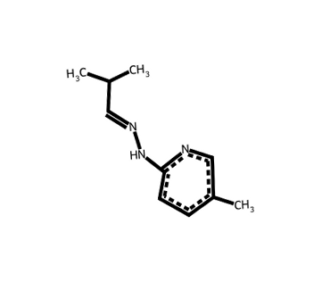 Cc1ccc(N/N=C/C(C)C)nc1